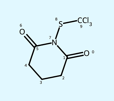 O=C1CCCC(=O)N1SC(Cl)(Cl)Cl